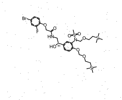 C[Si](C)(C)CCOCOc1ccc([C@@H](O)CNC(=O)COc2ccc(Br)cc2F)cc1N(COCC[Si](C)(C)C)S(C)(=O)=O